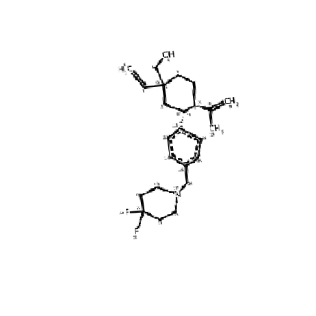 C=C[C@]1(CO)CC[C@@H](C(=C)C)[C@H](c2ccc(CN3CCC(F)(F)CC3)cc2)C1